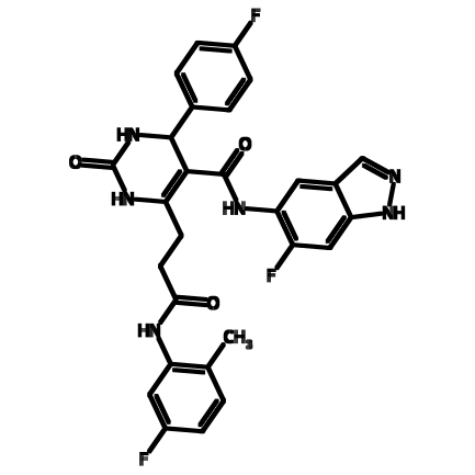 Cc1ccc(F)cc1NC(=O)CCC1=C(C(=O)Nc2cc3cn[nH]c3cc2F)C(c2ccc(F)cc2)NC(=O)N1